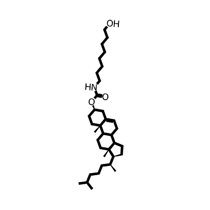 CC(C)CCC[C@H](C)[C@@H]1CCC2C3CC=C4C[C@H](OC(=O)NCCCCCCCCO)CC[C@@]4(C)C3CC[C@]21C